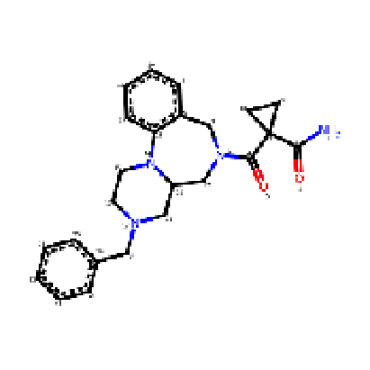 NC(=O)C1(C(=O)N2Cc3ccccc3N3CCN(Cc4ccccc4)CC3C2)CC1